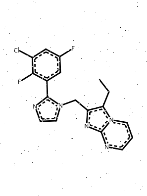 CCc1c(Cn2ccnc2-c2cc(F)cc(Cl)c2F)nc2ncccn12